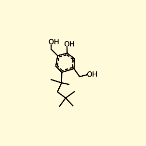 CC(C)(C)CC(C)(C)c1cc(CO)c(O)cc1CO